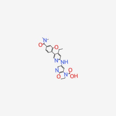 CC1Oc2cc(C(=O)N(C)C)ccc2-c2cnc(Nc3cnc4c(c3)N(C(=O)O)CCO4)cc21